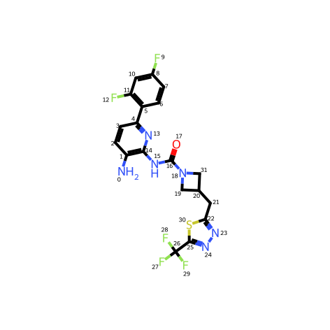 Nc1ccc(-c2ccc(F)cc2F)nc1NC(=O)N1CC(Cc2nnc(C(F)(F)F)s2)C1